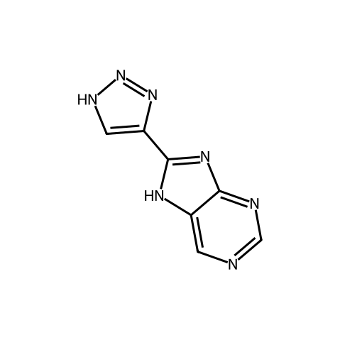 c1ncc2[nH]c(-c3c[nH]nn3)nc2n1